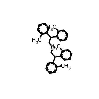 Cc1ccccc1C(COCC(c1ccccc1C)c1ccccc1C)c1ccccc1C